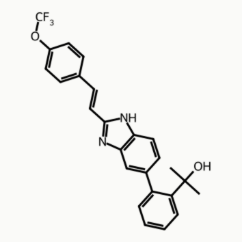 CC(C)(O)c1ccccc1-c1ccc2[nH]c(C=Cc3ccc(OC(F)(F)F)cc3)nc2c1